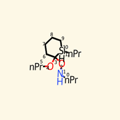 CCCNOC1(OCCC)CCCC[SiH]1CCC